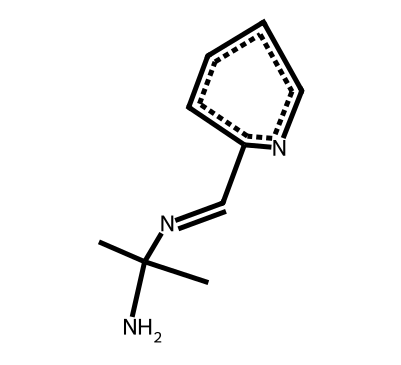 CC(C)(N)N=Cc1ccccn1